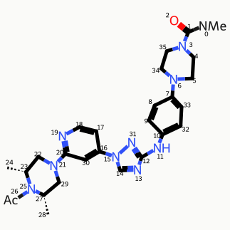 CNC(=O)N1CCN(c2ccc(Nc3ncn(-c4ccnc(N5C[C@@H](C)N(C(C)=O)[C@@H](C)C5)c4)n3)cc2)CC1